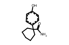 NC(=O)C1(c2ccc(O)cc2)CCCCC1